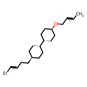 C/C=C/CO[C@H]1CC[C@H]([C@H]2CC[C@H](CC/C=C/CC)CC2)CC1